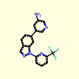 Nc1cncc(-c2ccc3cnn(-c4cccc(C(F)(F)F)n4)c3c2)c1